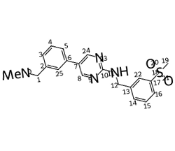 CNCc1cccc(-c2cnc(NCc3cccc(S(C)(=O)=O)c3)nc2)c1